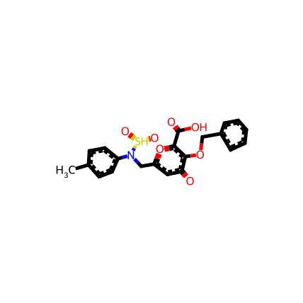 Cc1ccc(N(Cc2cc(=O)c(OCc3ccccc3)c(C(=O)O)o2)[SH](=O)=O)cc1